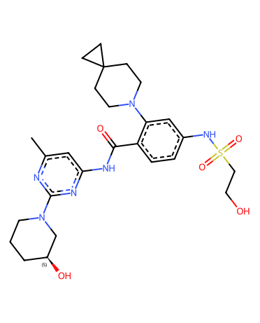 Cc1cc(NC(=O)c2ccc(NS(=O)(=O)CCO)cc2N2CCC3(CC2)CC3)nc(N2CCC[C@H](O)C2)n1